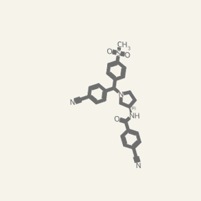 CS(=O)(=O)c1ccc(C(c2ccc(C#N)cc2)N2CC[C@@H](NC(=O)c3ccc(C#N)cc3)C2)cc1